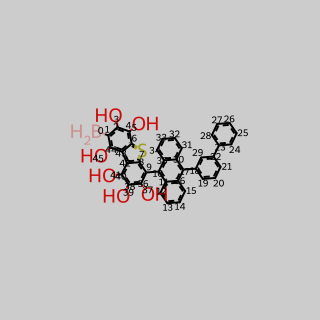 Bc1c(O)c(O)c2sc3c(-c4c5ccccc5c(-c5cccc(-c6ccccc6)c5)c5ccccc45)c(O)c(O)c(O)c3c2c1O